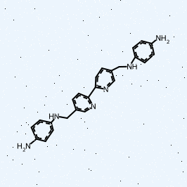 Nc1ccc(NCc2ccc(-c3ccc(CNc4ccc(N)cc4)cn3)nc2)cc1